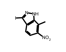 Cc1c([N+](=O)[O-])ccc2c(I)n[nH]c12